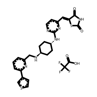 O=C(O)C(F)(F)F.O=C1NC(=O)C(=Cc2ccnc(N[C@H]3CC[C@H](NCc4cccc(-c5ccsc5)n4)CC3)n2)S1